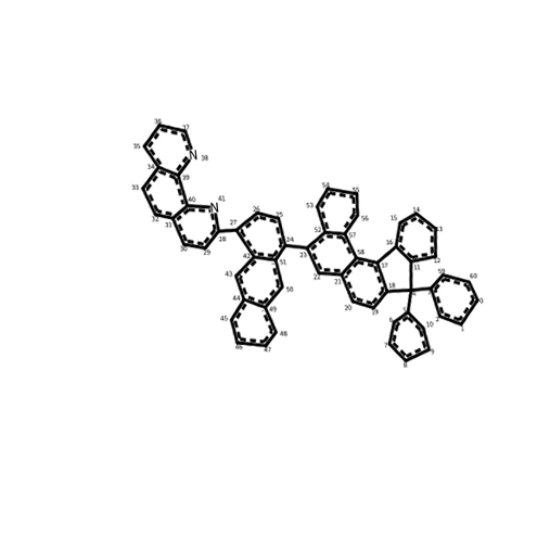 c1ccc(C2(c3ccccc3)c3ccccc3-c3c2ccc2cc(-c4ccc(-c5ccc6ccc7cccnc7c6n5)c5cc6ccccc6cc45)c4ccccc4c32)cc1